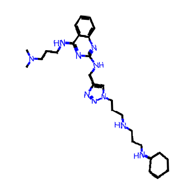 CN(C)CCCNc1nc(NCc2cn(CCCNCCCNC3CCCCC3)nn2)nc2ccccc12